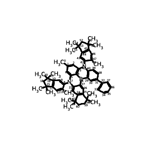 Cc1cc2c3c(c1)N(c1cc4c(cc1C)C(C)(C)CC4(C)C)c1cc4c(cc1B3c1cc(-c3ccccc3)ccc1N2c1cc2c(cc1C)C(C)(C)CC2(C)C)C(C)(C)CCC4(C)C